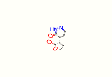 O=C1OCC=C1c1ccn[nH]c1=O